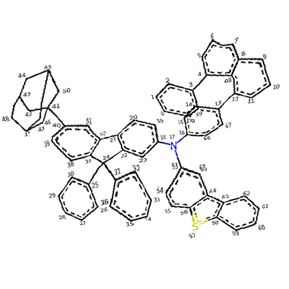 c1ccc(-c2cccc3cccc(-c4ccc(N(c5ccc6c(c5)C(c5ccccc5)(c5ccccc5)c5ccc(C78CC9CC(CC(C9)C7)C8)cc5-6)c5ccc6sc7ccccc7c6c5)cc4)c23)cc1